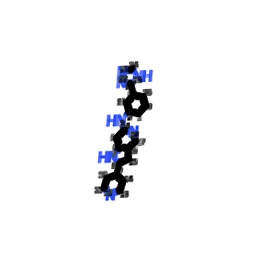 c1cc(Nc2cc3[nH]c(-c4ccncc4)cc3cn2)cc(-c2nnc[nH]2)c1